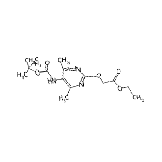 CCOC(=O)COc1nc(C)c(NC(=O)OC(C)(C)C)c(C)n1